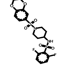 O=S(=O)(NC1CCN(S(=O)(=O)c2ccc3c(c2)OCCO3)CC1)c1c(F)cccc1F